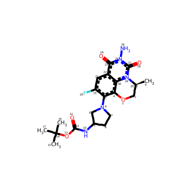 C[C@H]1COc2c(N3CCC(NC(=O)OC(C)(C)C)C3)c(F)cc3c(=O)n(N)c(=O)n1c23